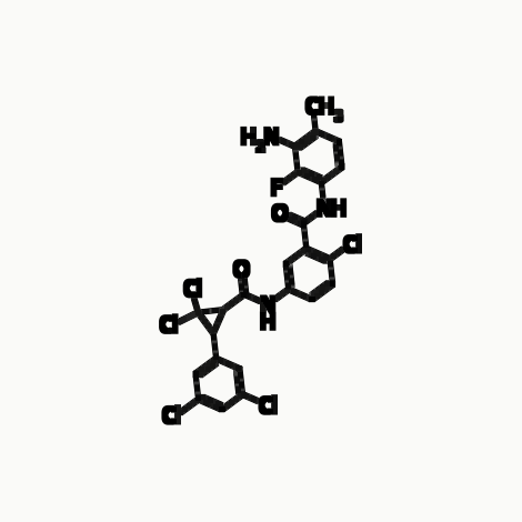 Cc1ccc(NC(=O)c2cc(NC(=O)C3C(c4cc(Cl)cc(Cl)c4)C3(Cl)Cl)ccc2Cl)c(F)c1N